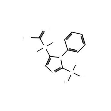 C=C(C)[Si](c1cnc([Si](C)(C)C(C)(C)C)n1-c1ccccc1)(C(C)C)C(C)C